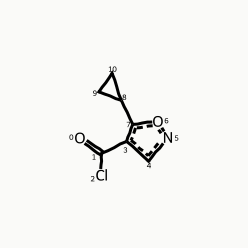 O=C(Cl)c1cnoc1C1CC1